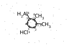 Cc1ccc[c]([AlH2])c1C.Cl